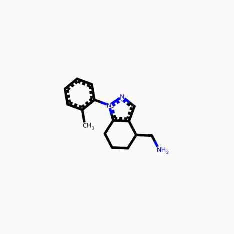 Cc1ccccc1-n1ncc2c1CCCC2CN